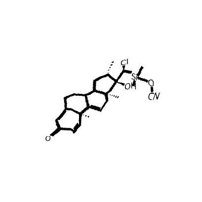 C[C@H]1CC2C3CCC4=CC(=O)C=C[C@]4(C)C3=CC[C@]2(C)[C@@]1(O)[C@@H](Cl)[Si](C)(C)OC#N